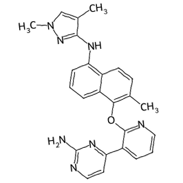 Cc1cn(C)nc1Nc1cccc2c(Oc3ncccc3-c3ccnc(N)n3)c(C)ccc12